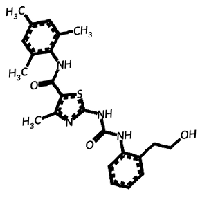 Cc1cc(C)c(NC(=O)c2sc(NC(=O)Nc3ccccc3CCO)nc2C)c(C)c1